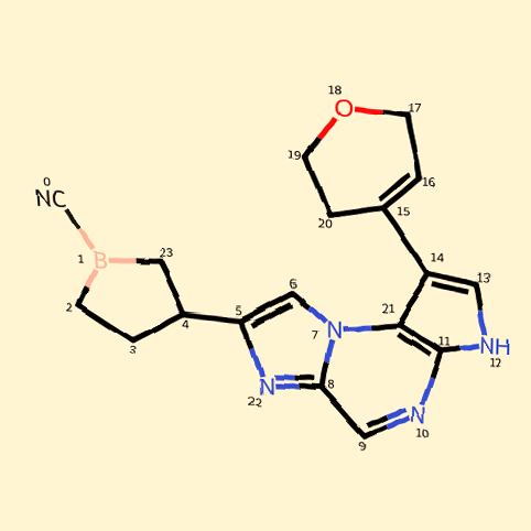 N#CB1CCC(c2cn3c(cnc4[nH]cc(C5=CCOCC5)c43)n2)C1